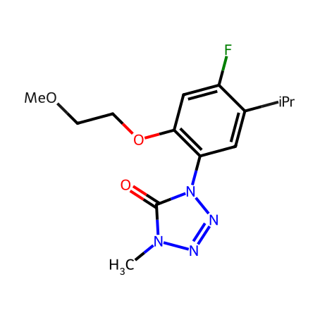 COCCOc1cc(F)c(C(C)C)cc1-n1nnn(C)c1=O